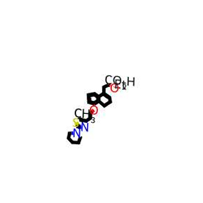 CCOC(CC1=CCCc2c(OCCc3nc(N4CCCCC4)sc3C)cccc21)C(=O)O